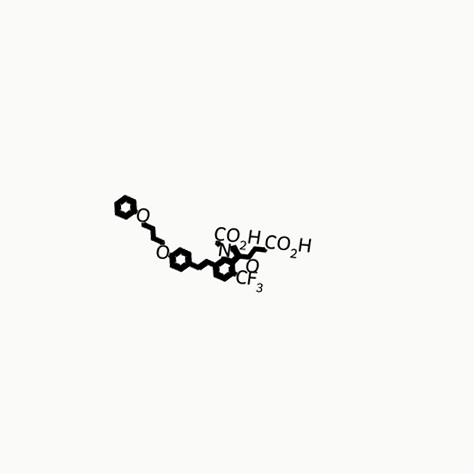 O=C(O)CCC(=O)c1cn(CC(=O)O)c2c(/C=C/c3ccc(OCCCCOc4ccccc4)cc3)ccc(C(F)(F)F)c12